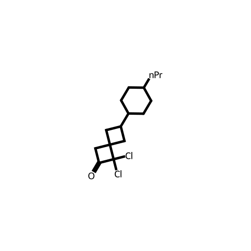 CCCC1CCC(C2CC3(CC(=O)C3(Cl)Cl)C2)CC1